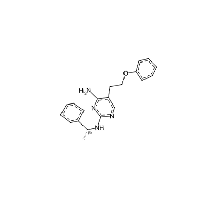 C[C@@H](Nc1ncc(CCOc2ccccc2)c(N)n1)c1ccccc1